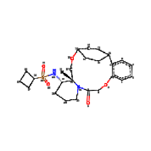 O=C1COc2ccccc2C2CCC(CC2)OC[C@H]2[C@@H](NS(=O)(=O)C3CCC3)CCCN12